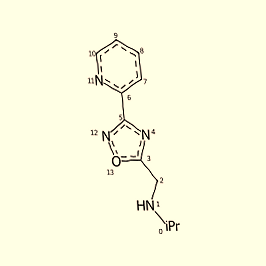 CC(C)NCc1nc(-c2ccccn2)no1